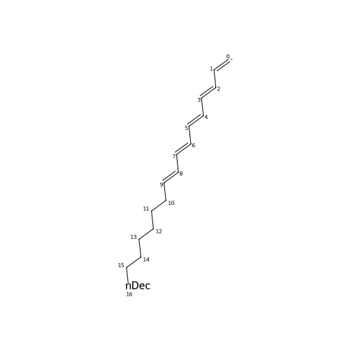 [CH]=C/C=C/C=C/C=C/C=C/CCCCCCCCCCCCCCCC